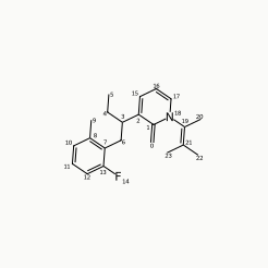 C=C1C(C(CC)Cc2c(C)cccc2F)=CC=CN1C(C)=C(C)C